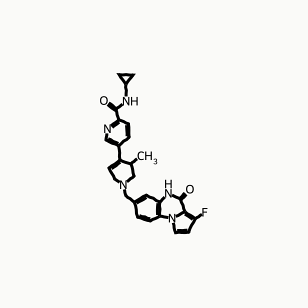 CC1CN(Cc2ccc3c(c2)[nH]c(=O)c2c(F)ccn23)CC=C1c1ccc(C(=O)NC2CC2)nc1